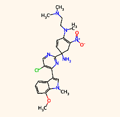 COc1cccc2c(-c3nc(C4(N)C=CC(N(C)CCN(C)C)=C([N+](=O)[O-])C4)ncc3Cl)cn(C)c12